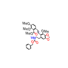 COC(=O)c1c(/C=C/c2c(CCNC(=O)OCc3ccccc3)cc3c(c2OC)OCO3)ccc(OC)c1OC